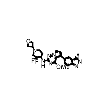 COc1nc(NC2CCN(C3COC3)CC2(F)F)nn2ccc(-c3ccc4nnn(C)c4c3)c12